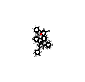 Cc1ccc2c(c1)c1ccccc1n2-c1cccc(-c2nc(-c3ccccc3)nc(-c3ccccc3)n2)c1-c1c(C(F)(F)F)cccc1C(F)(F)F